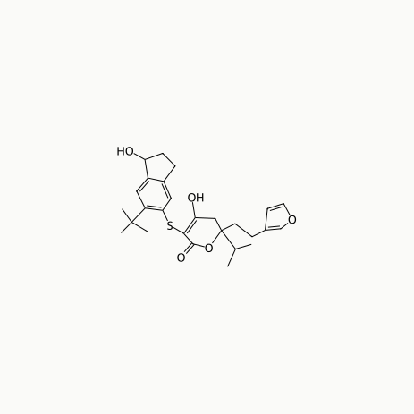 CC(C)C1(CCc2ccoc2)CC(O)=C(Sc2cc3c(cc2C(C)(C)C)C(O)CC3)C(=O)O1